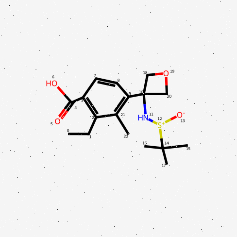 CCc1c(C(=O)O)ccc(C2(N[S+]([O-])C(C)(C)C)COC2)c1C